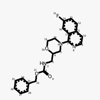 O=C(NCC1CN(c2nccc3ccc(F)cc23)CCO1)OCc1ccccc1